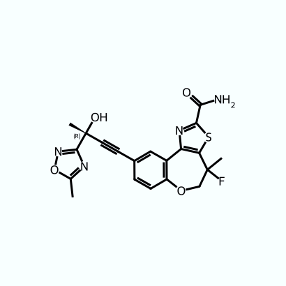 Cc1nc([C@](C)(O)C#Cc2ccc3c(c2)-c2nc(C(N)=O)sc2C(C)(F)CO3)no1